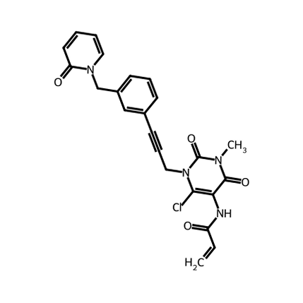 C=CC(=O)Nc1c(Cl)n(CC#Cc2cccc(Cn3ccccc3=O)c2)c(=O)n(C)c1=O